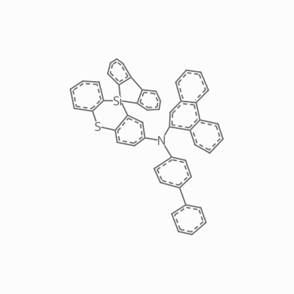 c1ccc(-c2ccc(N(c3ccc4c(c3)[Si]3(c5ccccc5S4)c4ccccc4-c4ccccc43)c3cc4ccccc4c4ccccc34)cc2)cc1